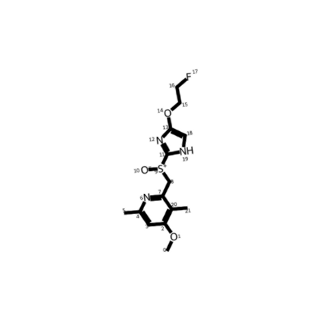 COc1cc(C)nc(C[S+]([O-])c2nc(OCCF)c[nH]2)c1C